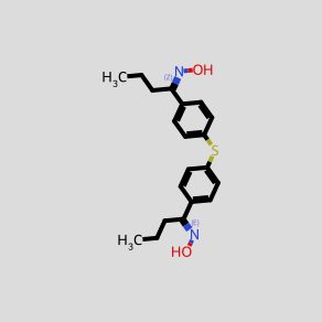 CCC/C(=N/O)c1ccc(Sc2ccc(/C(CCC)=N/O)cc2)cc1